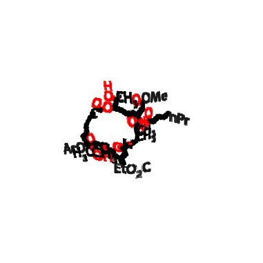 CCC/C=C/C=C/C(=O)O[C@H]1/C(=C/C(=O)OC)CC2CC([C@@H](C)O)OC(=O)CCCC3CC(OC(C)=O)C(C)(C)C(CO)(C[C@@H]4C/C(=C\C(=O)OCC)C[C@H](/C=C/C(C)(C)C1(O)O2)O4)O3